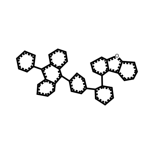 c1ccc(-c2c3ccccc3c(-c3ccc(-c4ccccc4-c4cccc5oc6ccccc6c45)cc3)c3ccccc23)cc1